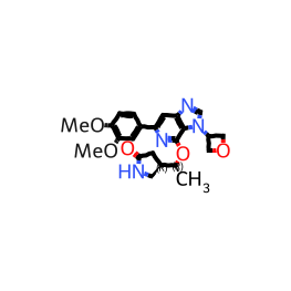 COc1ccc(-c2cc3ncn(C4COC4)c3c(O[C@H](C)[C@H]3CNC(=O)C3)n2)cc1OC